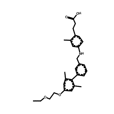 CCOCCOc1cc(C)c(-c2cccc(CNc3ccc(CCC(=O)O)c(C)c3)c2)c(C)c1